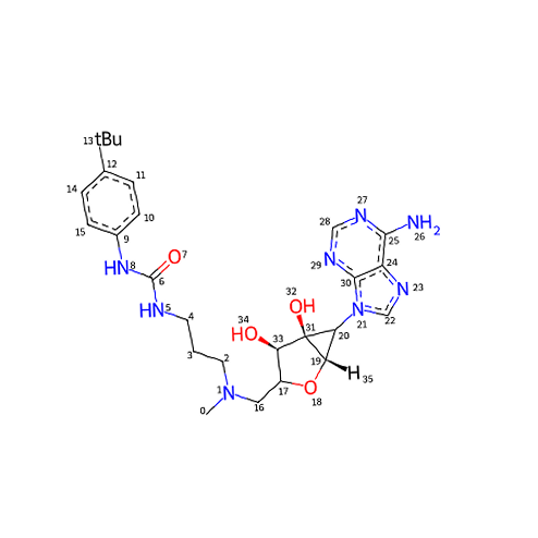 CN(CCCNC(=O)Nc1ccc(C(C)(C)C)cc1)CC1O[C@H]2C(n3cnc4c(N)ncnc43)[C@@]2(O)[C@@H]1O